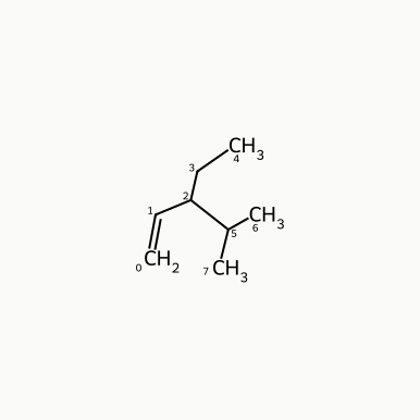 C=CC(CC)C(C)C